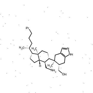 CC(C)CCC[C@@H](C)[C@H]1CC[C@H]2[C@H](CN)[C@@H]([C@@]3(C)Cc4cn[nH]c4C[C@@H]3CO)CC[C@]12C